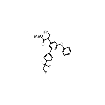 COC(=O)C(CC(C)C)c1cc(Oc2ccccc2)cc(-c2ccc(C(F)(F)CF)cc2)c1